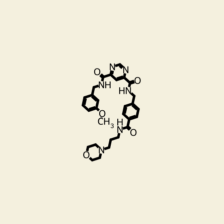 COc1cccc(CNC(=O)c2cc(C(=O)NCc3ccc(C(=O)NCCCN4CCOCC4)cc3)ncn2)c1